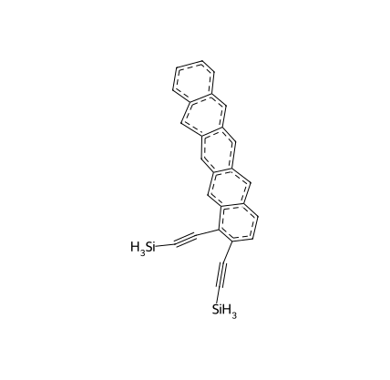 [SiH3]C#Cc1ccc2cc3cc4cc5ccccc5cc4cc3cc2c1C#C[SiH3]